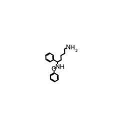 NCCCCC(NOc1ccccc1)c1ccccc1